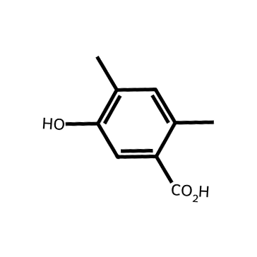 Cc1cc(C)c(C(=O)O)cc1O